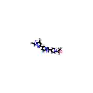 Cc1cn2nc(-c3cc(F)c4nc(C5CCN(C6COC6(C)C)CC5)cn4c3)cc(C)c2n1